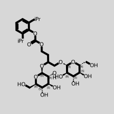 CC(C)c1cccc(C(C)C)c1OC(=O)OCCC(CO[C@@H]1O[C@H](CO)[C@@H](O)[C@H](O)[C@H]1O)O[C@@H]1O[C@H](CO)[C@@H](O)[C@H](O)[C@H]1O